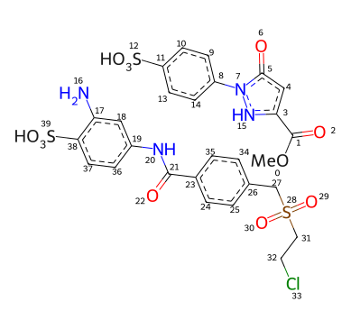 COC(=O)c1cc(=O)n(-c2ccc(S(=O)(=O)O)cc2)[nH]1.Nc1cc(NC(=O)c2ccc(CS(=O)(=O)CCCl)cc2)ccc1S(=O)(=O)O